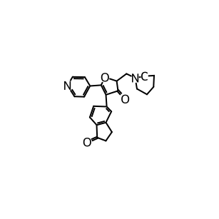 O=C1CCc2cc(C3=C(c4ccncc4)OC(CN4CCCCC4)C3=O)ccc21